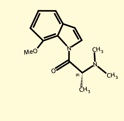 COc1cccc2ccn(C(=O)[C@@H](C)N(C)C)c12